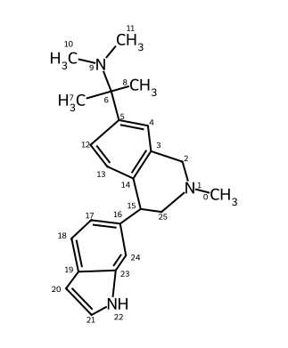 CN1Cc2cc(C(C)(C)N(C)C)ccc2C(c2ccc3cc[nH]c3c2)C1